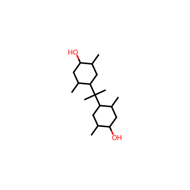 CC1CC(C(C)(C)C2CC(C)C(O)CC2C)C(C)CC1O